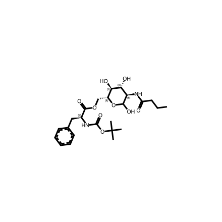 CCCC(=O)N[C@H]1C(O)O[C@H](COC(=O)[C@H](Cc2ccccc2)NC(=O)OC(C)(C)C)[C@@H](O)[C@@H]1O